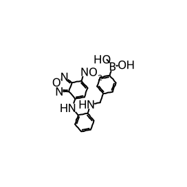 O=[N+]([O-])c1ccc(Nc2ccccc2NCc2ccc(B(O)O)cc2)c2nonc12